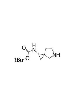 CC(C)(C)OC(=O)NC1CC12CCNC2